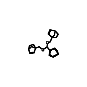 C1=CC2(COC(OCC34C=CC(CC3)C4)c3ccccc3)CCC1C2